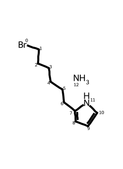 BrCCCCCCc1ccc[nH]1.N